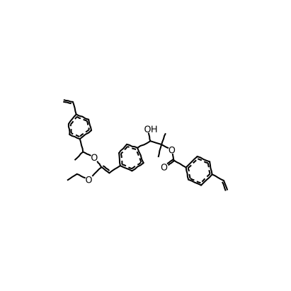 C=Cc1ccc(C(=O)OC(C)(C)C(O)c2ccc(C=C(OCC)OC(C)c3ccc(C=C)cc3)cc2)cc1